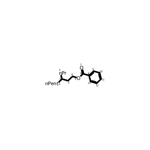 CCCCCC(CCC)CCOC(=O)c1ccccc1